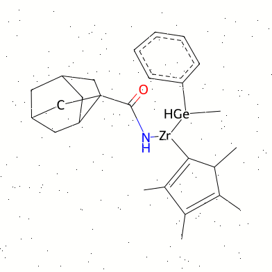 CC1=C(C)C(C)[C]([Zr]([NH]C(=O)C23CC4CC(CC2C4)C3)[GeH]([CH3])[c]2ccccc2)=C1C